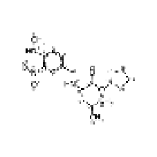 CNc1ccc(CN[C@@H](CC(C)C)C(=O)OC2CCCC2)cc1[N+](=O)[O-]